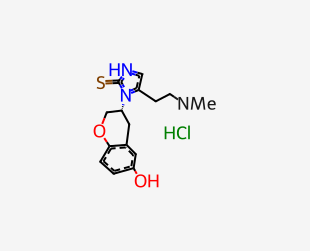 CNCCc1c[nH]c(=S)n1[C@H]1COc2ccc(O)cc2C1.Cl